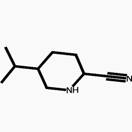 CC(C)C1CCC(C#N)NC1